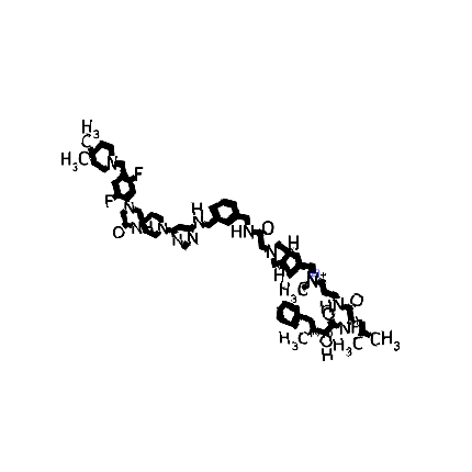 CC(C)C[C@H](NC(=O)[C@@H](O)[C@H](C)Cc1ccccc1)C(=O)NCCC/[N+](C)=C/C1C[C@@H]2CN(CC(=O)NCc3cccc(CNc4cc(N5CCC6(CC5)CN(c5cc(F)c(CN7CCC(C)(C)CC7)cc5F)CC(=O)N6)ncn4)c3)C[C@@H]2C1